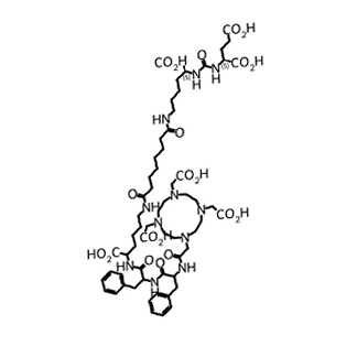 O=C(O)CC[C@H](NC(=O)N[C@@H](CCCCNC(=O)CCCCCCC(=O)NCCCCC(NC(=O)C(Cc1ccccc1)NC(=O)C(Cc1ccccc1)NC(=O)CN1CCN(CC(=O)O)CCN(CC(=O)O)CCN(CC(=O)O)CC1)C(=O)O)C(=O)O)C(=O)O